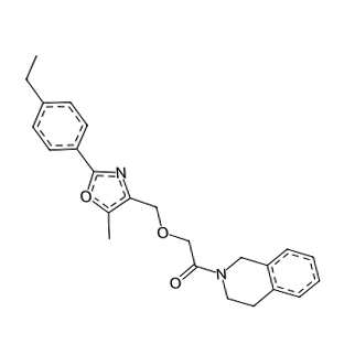 CCc1ccc(-c2nc(COCC(=O)N3CCc4ccccc4C3)c(C)o2)cc1